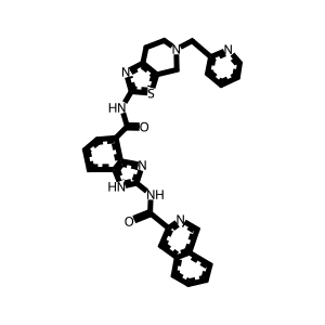 O=C(Nc1nc2c(C(=O)Nc3nc4c(s3)CN(Cc3ccccn3)CC4)cccc2[nH]1)c1cc2ccccc2cn1